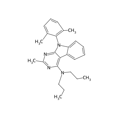 CCCN(CCC)c1nc(C)nc2c1c1ccccc1n2-c1c(C)cccc1C